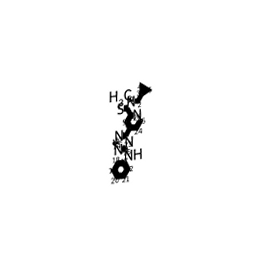 CN(CC1CC1)C(=S)c1cc(-c2ncnc(Nc3ccccc3)n2)ccn1